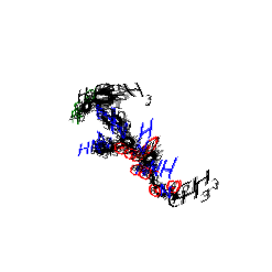 CC(C)C(=O)N1CCOC(CCCNc2ccc(S(=O)(=O)NC(=O)c3ccc(N4CCN(CC5=C(c6ccc(C(F)(F)F)cc6Cl)CC(C)(C)CC5)CC4)cc3Oc3cnc4[nH]ccc4c3)cc2[N+](=O)[O-])C1